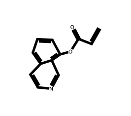 C=CC(=O)Oc1cccc2ccncc12